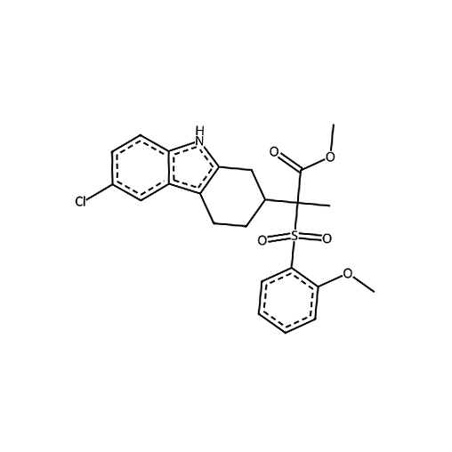 COC(=O)C(C)(C1CCc2c([nH]c3ccc(Cl)cc23)C1)S(=O)(=O)c1ccccc1OC